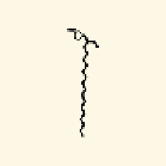 C=COCC(CC)CCCCCCCCCCCCCCCC